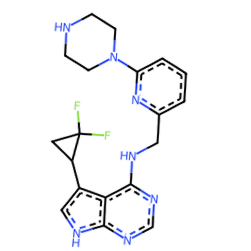 FC1(F)CC1c1c[nH]c2ncnc(NCc3cccc(N4CCNCC4)n3)c12